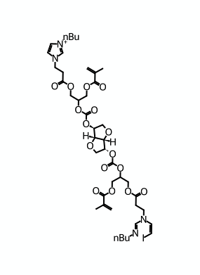 C=C(C)C(=O)OCC(COC(=O)CCn1cc[n+](CCCC)c1)OC(=O)O[C@H]1CO[C@H]2[C@@H]1OC[C@H]2OC(=O)OC(COC(=O)CCN(/C=C\I)/C=N/CCCC)COC(=O)C(=C)C